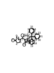 CN1C(=O)CCC1C(O)C1C(=O)NC1SC(c1ccccc1)(c1ccccc1)c1ccccc1